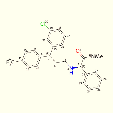 CNC(=O)[C@H](NCC[C@H](c1ccc(C(F)(F)F)cc1)c1cccc(Cl)c1)c1ccccc1